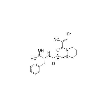 CC(C)C=C(C#N)C(=O)N1CCCC[C@H]1CNC(=O)NC(Cc1ccccc1)B(O)O